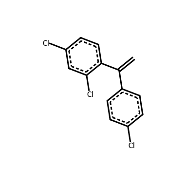 C=C(c1ccc(Cl)cc1)c1ccc(Cl)cc1Cl